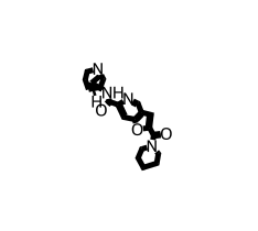 O=C(N[C@H]1CN2CCC1CC2)c1cc2oc(C(=O)N3CCCCC3)cc2cn1